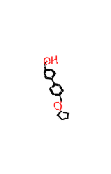 OCc1ccc(-c2ccc(COC3CCCC3)cc2)cc1